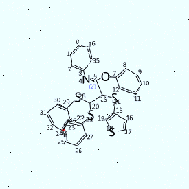 c1ccc(/N=C(\Oc2ccccc2)C(Sc2ccsc2)C(Sc2ccccc2)Sc2ccccc2)cc1